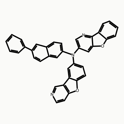 c1ccc(-c2ccc3cc(N(c4cnc5c(c4)oc4ccccc45)c4ccc5oc6ccncc6c5c4)ccc3c2)cc1